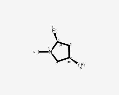 CCC[C@@H]1C[C@H](CC)N(I)C1